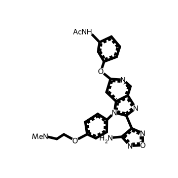 CNCCOc1ccc(-n2c(-c3nonc3N)nc3cnc(Oc4cccc(NC(C)=O)c4)cc32)cc1